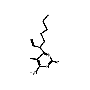 C=CC(CCCCC)c1nc(Cl)nc(N)c1C